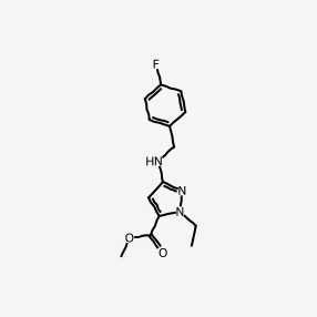 CCn1nc(NCc2ccc(F)cc2)cc1C(=O)OC